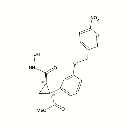 COC(=O)[C@]1(c2cccc(OCc3ccc([N+](=O)[O-])cc3)c2)C[C@H]1C(=O)NO